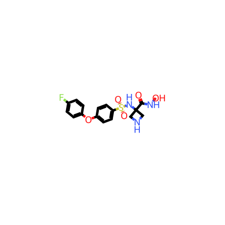 O=C(NO)C1(NS(=O)(=O)c2ccc(Oc3ccc(F)cc3)cc2)CNC1